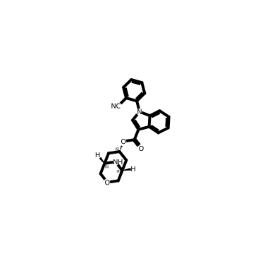 N#Cc1ccccc1-n1cc(C(=O)O[C@H]2C[C@H]3COC[C@@H](C2)N3)c2ccccc21